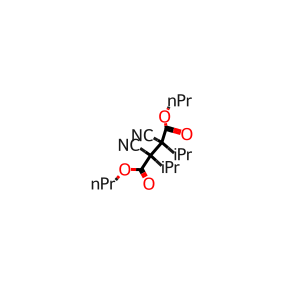 CCCOC(=O)C(C#N)(C(C)C)C(C#N)(C(=O)OCCC)C(C)C